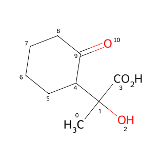 CC(O)(C(=O)O)C1CCCCC1=O